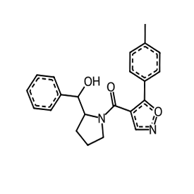 Cc1ccc(-c2oncc2C(=O)N2CCCC2C(O)c2ccccc2)cc1